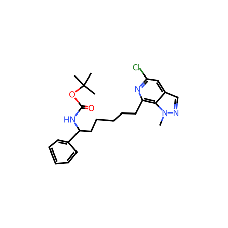 Cn1ncc2cc(Cl)nc(CCCCCC(NC(=O)OC(C)(C)C)c3ccccc3)c21